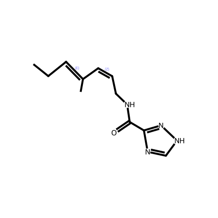 CC/C=C(C)/C=C\CNC(=O)c1nc[nH]n1